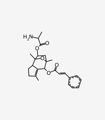 CC1=C2C(OC(=O)/C=C/c3ccccc3)C3(C)CC(OC(=O)C(C)N)C(C)(O3)C2CC1